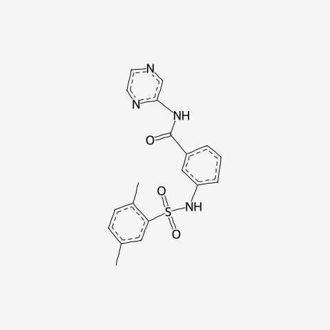 Cc1ccc(C)c(S(=O)(=O)Nc2cccc(C(=O)Nc3cnccn3)c2)c1